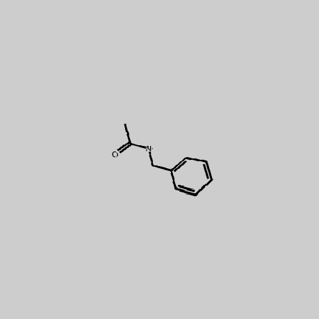 CC(=O)[N]Cc1ccccc1